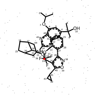 CC(C)Oc1cc(C(C)(C)O)cc2sc(NC3C4CCC3CC(OCc3c(-c5ccccc5OC(F)(F)F)noc3C3CC3)C4)nc12